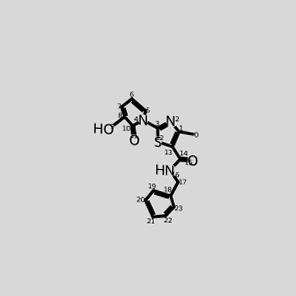 Cc1nc(-n2cccc(O)c2=O)sc1C(=O)NCc1ccccc1